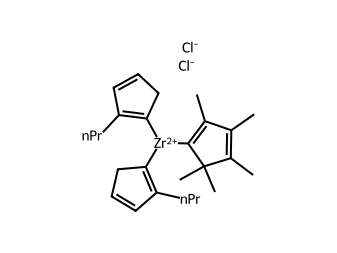 CCCC1=[C]([Zr+2]([C]2=C(CCC)C=CC2)[C]2=C(C)C(C)=C(C)C2(C)C)CC=C1.[Cl-].[Cl-]